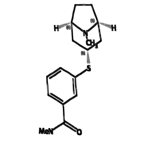 CNC(=O)c1cccc(S[C@@H]2C[C@H]3CC[C@@H](C2)N3C)c1